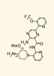 CO[C@@H]1CN(c2cccnc2NC(=O)c2nc(-c3ncccc3OC(F)(F)F)cnc2N)CC[C@H]1N